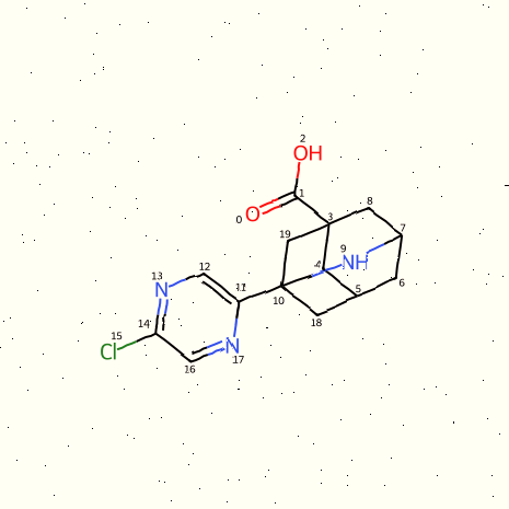 O=C(O)C12CC3CC(C1)NC(c1cnc(Cl)cn1)(C3)C2